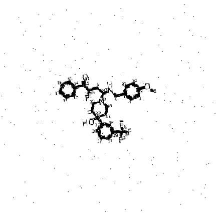 COc1ccc(CNC(CC(F)C(=O)c2ccccc2)N2CCC(O)(c3cccc(C(F)(F)F)c3)CC2)cc1